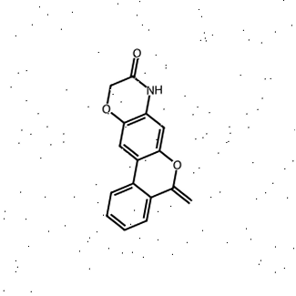 C=C1Oc2cc3c(cc2-c2ccccc21)OCC(=O)N3